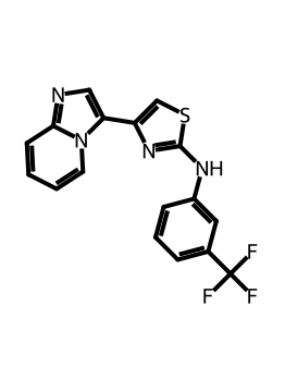 FC(F)(F)c1cccc(Nc2nc(-c3cnc4ccccn34)cs2)c1